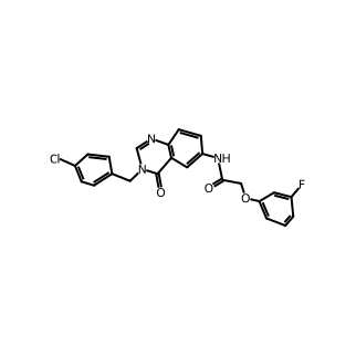 O=C(COc1cccc(F)c1)Nc1ccc2ncn(Cc3ccc(Cl)cc3)c(=O)c2c1